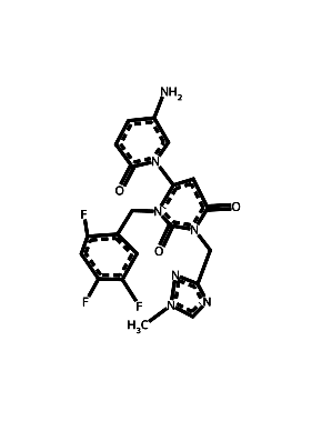 Cn1cnc(Cn2c(=O)cc(-n3cc(N)ccc3=O)n(Cc3cc(F)c(F)cc3F)c2=O)n1